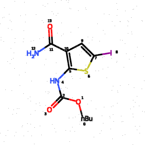 CCCCOC(=O)Nc1sc(I)cc1C(N)=O